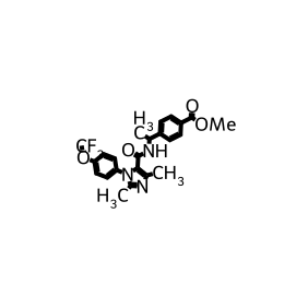 COC(=O)c1ccc(C(C)NC(=O)c2c(C)nc(C)n2-c2ccc(OC(F)(F)F)cc2)cc1